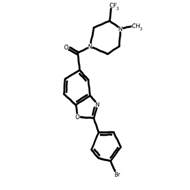 CN1CCN(C(=O)c2ccc3oc(-c4ccc(Br)cc4)nc3c2)CC1C(F)(F)F